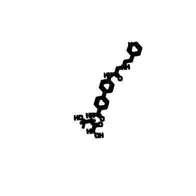 C[C@@H](O)[C@H](NC(=O)c1ccc(-c2ccc(NC(=O)CNCCc3cccnc3)cc2)cc1)C(=O)NO